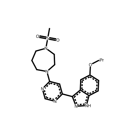 CC(C)Oc1ccc2[nH]nc(-c3cc(N4CCCN(S(C)(=O)=O)CC4)ncn3)c2c1